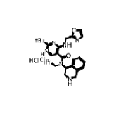 CC(C)CN(C(=O)c1cnc(C(C)(C)C)nc1NCc1ncco1)C1CNCc2ccccc21.Cl.Cl